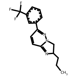 CCCC1CN2N=C(c3cccc(C(F)(F)F)c3)C=CC2=N1